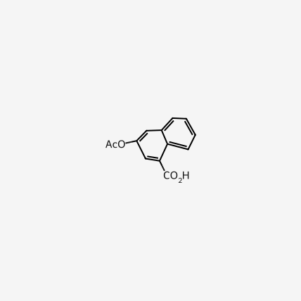 CC(=O)Oc1cc(C(=O)O)c2ccccc2c1